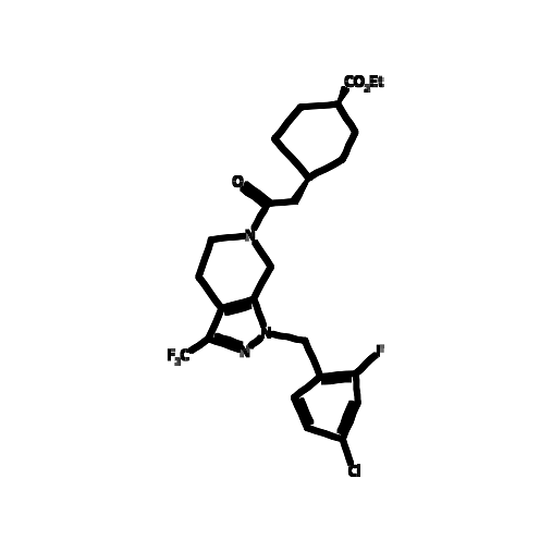 CCOC(=O)[C@H]1CC[C@@H](CC(=O)N2CCc3c(C(F)(F)F)nn(Cc4ccc(Cl)cc4F)c3C2)CC1